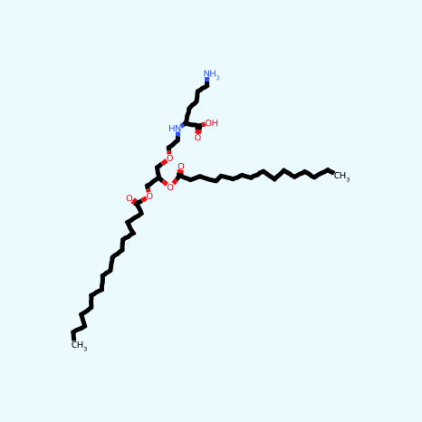 CCCCCCCCCCCCCCCC(=O)OCC(COCCNC(CCCCN)C(=O)O)OC(=O)CCCCCCCCCCCCCCC